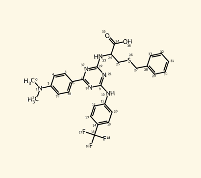 CN(C)c1ccc(-c2nc(Nc3ccc(C(F)(F)F)cc3)nc(NC(CSCc3ccccc3)C(=O)O)n2)cc1